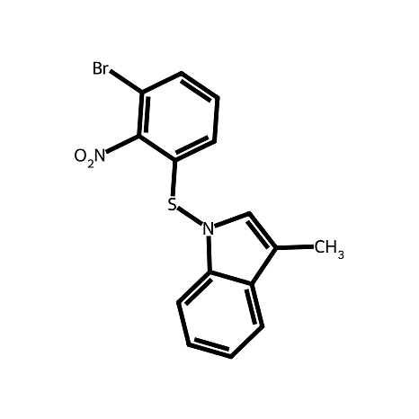 Cc1cn(Sc2cccc(Br)c2[N+](=O)[O-])c2ccccc12